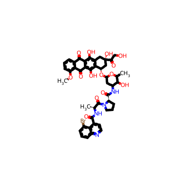 COc1cccc2c1C(=O)c1c(O)c3c(c(O)c1C2=O)C[C@@](O)(C(=O)CO)C[C@@H]3OC1CC(NC(=O)[C@@H]2CCCN2C(=O)[C@@H](C)NC(=O)c2ccnc3cccc(Br)c23)C(O)C(C)O1